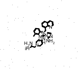 Cc1cccc2c1NC(NC1CCN(CC(N)C(C)C)CC1)(n1ccnc1N)N2Cc1cccc2cccnc12